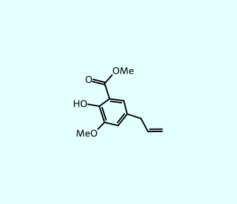 C=CCc1cc(OC)c(O)c(C(=O)OC)c1